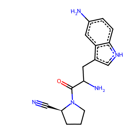 N#C[C@@H]1CCCN1C(=O)C(N)Cc1c[nH]c2ccc(N)cc12